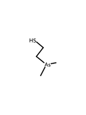 C[As](C)CCS